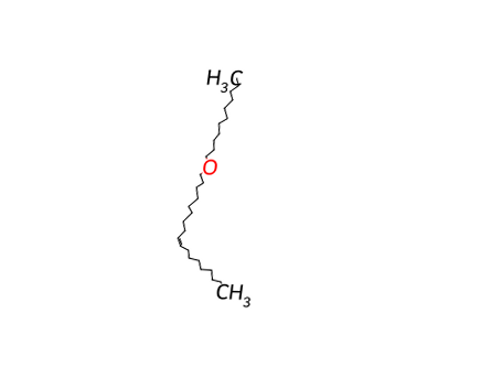 CCCCCCCC/C=C\CCCCCCCCOCCCCCCCCCCC